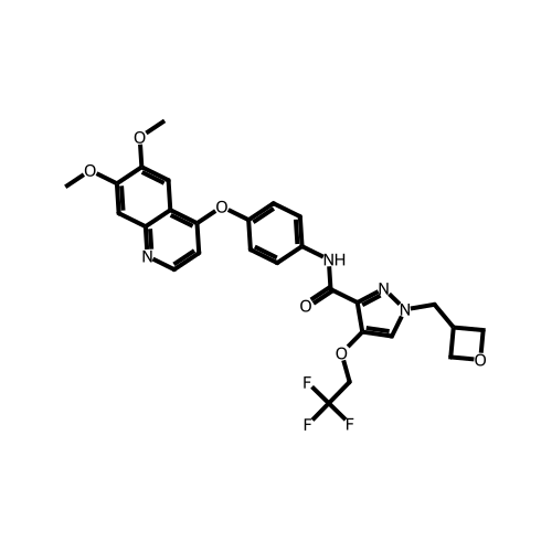 COc1cc2nccc(Oc3ccc(NC(=O)c4nn(CC5COC5)cc4OCC(F)(F)F)cc3)c2cc1OC